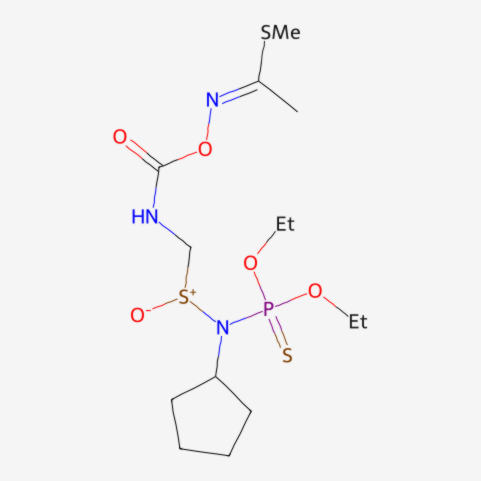 CCOP(=S)(OCC)N(C1CCCC1)[S+]([O-])CNC(=O)O/N=C(\C)SC